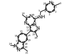 Cc1ccc(CNc2nc(C)nc3c(-c4ccc5c(c4)c(C)nn5C)c(C)nn23)cn1